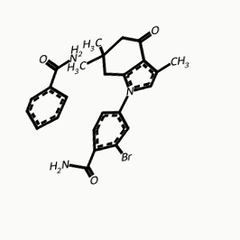 Cc1cn(-c2ccc(C(N)=O)c(Br)c2)c2c1C(=O)CC(C)(C)C2.NC(=O)c1ccccc1